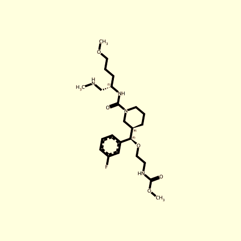 CNC[C@H](CCCOC)NC(=O)N1CCC[C@@H]([C@@H](OCCNC(=O)OC)c2cccc(F)c2)C1